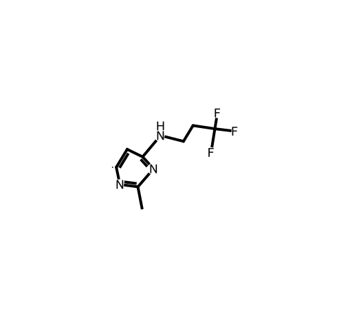 Cc1n[c]cc(NCCC(F)(F)F)n1